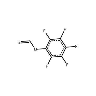 Fc1c(F)c(F)c(OC=S)c(F)c1F